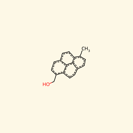 Cc1ccc2ccc3c(CO)ccc4ccc1c2c43